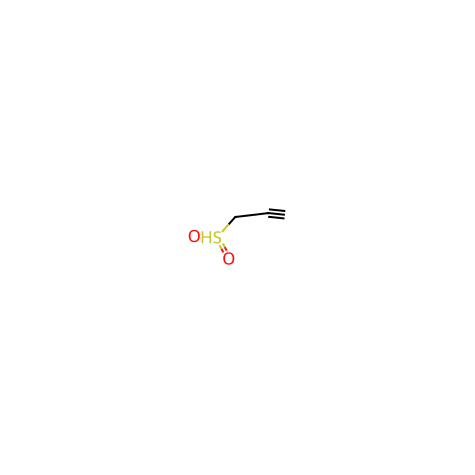 C#CC[SH](=O)=O